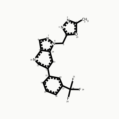 Cc1nnc(Cn2ncc3ncc(-c4cccc(C(F)(F)F)c4)cc32)o1